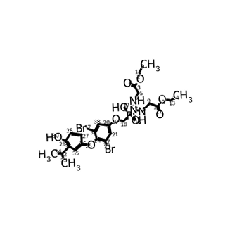 CCOC(=O)CNN(NCC(=O)OCC)P(=O)(O)COc1cc(Br)c(Oc2ccc(O)c(C(C)C)c2)c(Br)c1